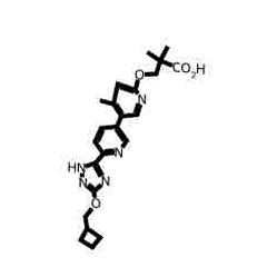 Cc1cc(OCC(C)(C)C(=O)O)ncc1-c1ccc(-c2nc(OCC3CCC3)n[nH]2)nc1